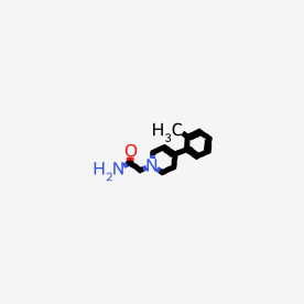 Cc1ccccc1C1=CCN(CC(N)=O)CC1